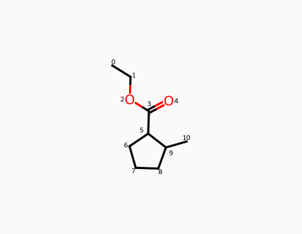 CCOC(=O)C1CCCC1C